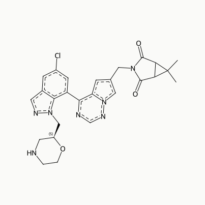 CC1(C)C2C(=O)N(Cc3cc4c(-c5cc(Cl)cc6cnn(C[C@@H]7CNCCO7)c56)ncnn4c3)C(=O)C21